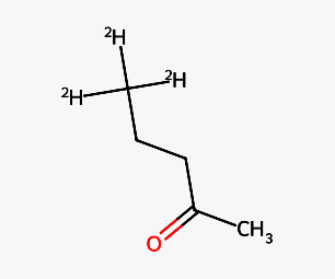 [2H]C([2H])([2H])CCC(C)=O